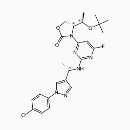 C[C@H](Nc1nc(F)cc(N2C(=O)OC[C@@H]2[C@@H](C)OC(C)(C)C)n1)c1cnn(-c2ccc(Cl)cc2)c1